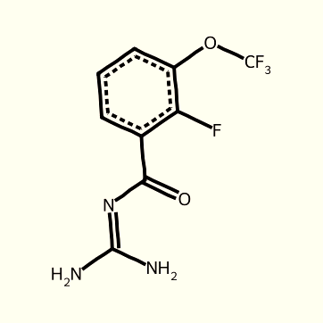 NC(N)=NC(=O)c1cccc(OC(F)(F)F)c1F